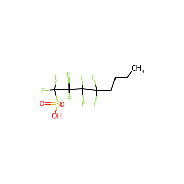 CCCCC(F)(F)C(F)(F)C(F)(F)C(F)(F)S(=O)(=O)O